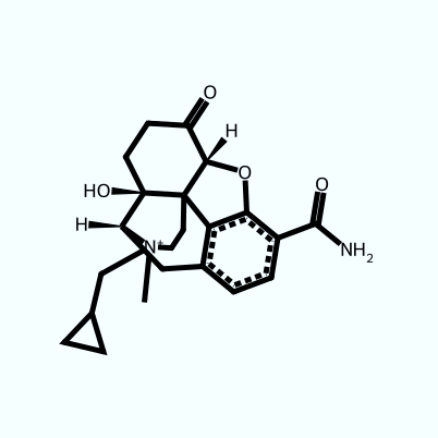 C[N+]1(CC2CC2)CCC23c4c5ccc(C(N)=O)c4O[C@H]2C(=O)CC[C@@]3(O)[C@H]1C5